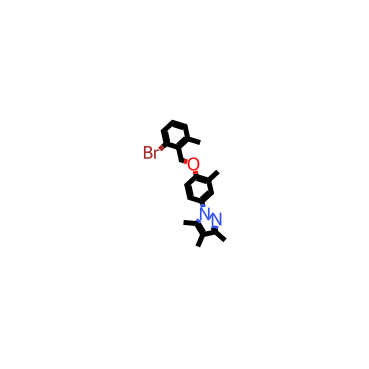 Cc1cc(-n2nc(C)c(C)c2C)ccc1OCc1c(C)cccc1Br